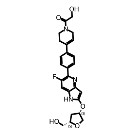 O=C(CO)N1CC=C(c2ccc(-c3nc4cc(O[C@@H]5CO[C@H](CO)C5)[nH]c4cc3F)cc2)CC1